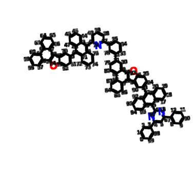 c1ccc(-c2cc(-c3ccccc3)nc(-c3c4ccccc4c(-c4ccc5oc6c7cc(-c8cccc(-c9cccc(-c%10c%11ccccc%11c(-c%11ccc%12oc%13c%14ccccc%14c%14ccccc%14c%13c%12c%11)c%11ccccc%10%11)n9)c8)ccc7c7ccccc7c6c5c4)c4ccccc34)n2)cc1